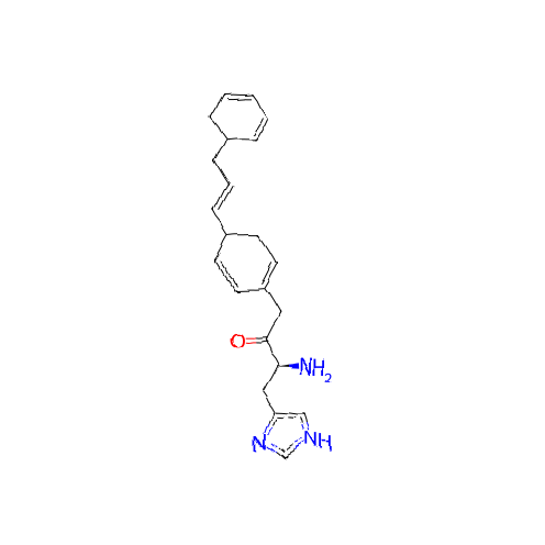 N[C@@H](Cc1c[nH]cn1)C(=O)CC1=CCC(/C=C/CC2C=CC=CC2)C=C1